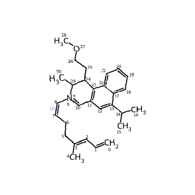 C=CC=C(C)CC/C=C\[N+]1=Cc2cc(C(C)C)c3ccccc3c2C(CCOC)C1C